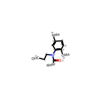 CNC(=O)N(CCC=O)c1cc(NC)ccc1OC